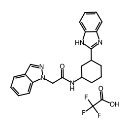 O=C(Cn1ncc2ccccc21)NC1CCCC(c2nc3ccccc3[nH]2)C1.O=C(O)C(F)(F)F